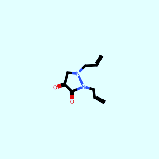 C=CCN1CC(=O)C(=O)N1CC=C